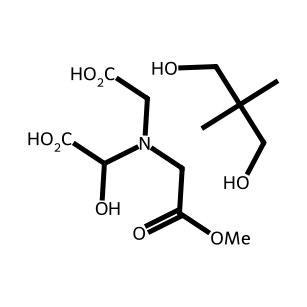 CC(C)(CO)CO.COC(=O)CN(CC(=O)O)C(O)C(=O)O